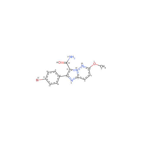 COc1ccc2nc(-c3ccc(Br)cc3)c(C(N)=O)n2n1